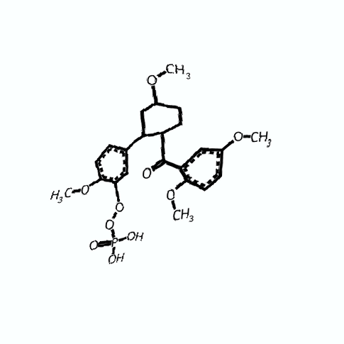 COc1ccc(OC)c(C(=O)C2CCC(OC)CC2c2ccc(OC)c(OOP(=O)(O)O)c2)c1